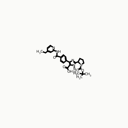 CCc1ccnc(NC(=O)c2ccc(-c3nc(C4CCCN4C(=O)OC(C)(C)C)n(N)c3C(=O)O)cc2)c1